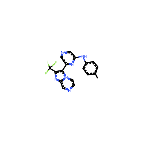 Cc1ccc(Nc2cncc(-c3c(C(F)(F)F)nc4cnccn34)n2)cc1